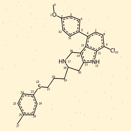 COc1ccc(-c2ccc(Cl)c3[nH]c4c(c23)CNC(CCCSc2ccc(C)cc2)C4)cc1